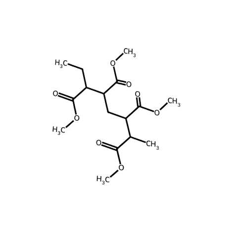 CCC(C(=O)OC)C(CC(C(=O)OC)C(C)C(=O)OC)C(=O)OC